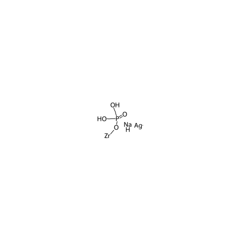 O=P(O)(O)[O][Zr].[Ag].[NaH]